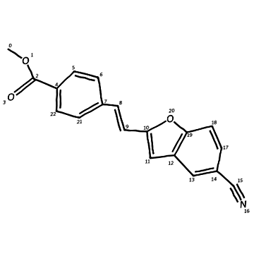 COC(=O)c1ccc(C=Cc2cc3cc(C#N)ccc3o2)cc1